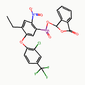 CCc1cc([N+](=O)[O-])c([PH](=O)OC2OC(=O)c3ccccc32)cc1Oc1ccc(C(F)(F)F)cc1Cl